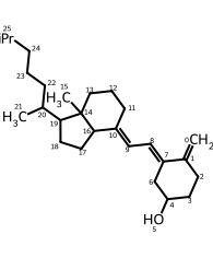 C=C1CCC(O)C/C1=C\C=C1/CCCC2(C)C1CCC2C(C)CCCC(C)C